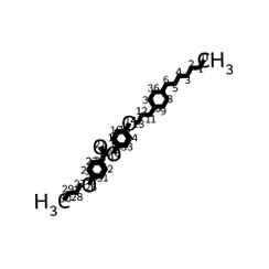 CCCCCCCC1CCC(CCCOc2ccc(OC(=O)c3ccc(OCCCC)cc3)cc2)CC1